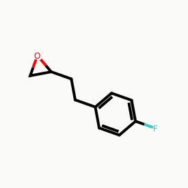 Fc1ccc(CCC2CO2)cc1